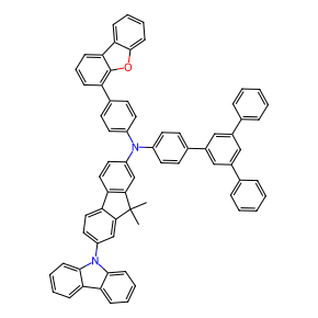 CC1(C)c2cc(N(c3ccc(-c4cc(-c5ccccc5)cc(-c5ccccc5)c4)cc3)c3ccc(-c4cccc5c4oc4ccccc45)cc3)ccc2-c2ccc(-n3c4ccccc4c4ccccc43)cc21